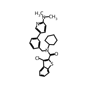 CN(C)c1ccc(-c2cccc(CN(C(=O)c3sc4ccccc4c3Cl)C3CCCCC3)c2)cn1